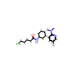 CN(C[C@H]1CC[C@H](NC(=O)CCCCCl)CC1)c1ccc(I)cn1